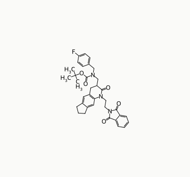 CC(C)(C)OC(=O)N(Cc1ccc(F)cc1)CC1Cc2cc3c(cc2N(CCN2C(=O)c4ccccc4C2=O)C1=O)CCC3